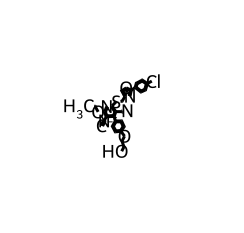 [C-]#[N+]c1c(OCC)nc(SCc2coc(-c3ccc(Cl)cc3)n2)c(C#N)c1-c1ccc(OCCO)cc1